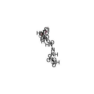 O=C1CCC(N2Cc3c(NC4CCN(CCCNC(=O)c5ccc(NC(=O)[C@@H]6NC7(CCCCC7)[C@@]7(C(=O)Nc8cc(Cl)ccc87)[C@H]6c6cccc(Cl)c6F)cc5)CC4)cccc3C2=O)C(=O)N1